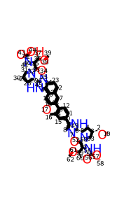 COC[C@H]1C[C@@H](c2ncc(-c3ccc4c(c3)COc3cc5c(ccc6nc([C@@H]7C[C@H](C)CN7C(=O)[C@H]([C@@H](C)OC)N(C)C(=O)O)[nH]c65)cc3-4)[nH]2)N(C(=O)[C@@H](NC(=O)OC)[C@@H](C)OC)C1